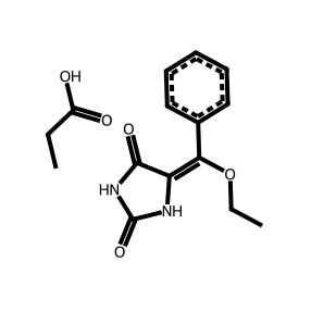 CCC(=O)O.CCOC(=C1NC(=O)NC1=O)c1ccccc1